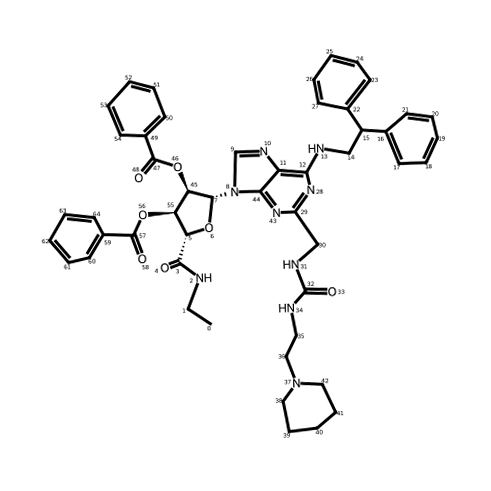 CCNC(=O)[C@H]1O[C@@H](n2cnc3c(NCC(c4ccccc4)c4ccccc4)nc(CNC(=O)NCCN4CCCCC4)nc32)[C@H](OC(=O)c2ccccc2)[C@@H]1OC(=O)c1ccccc1